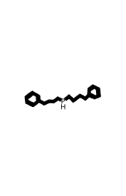 c1ccc(CCCCPCCCCc2ccccc2)cc1